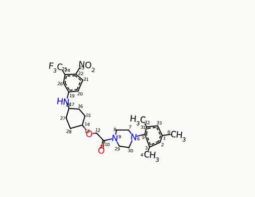 Cc1cc(C)c(N2CCN(C(=O)COC3CCC(Nc4ccc([N+](=O)[O-])c(C(F)(F)F)c4)CC3)CC2)c(C)c1